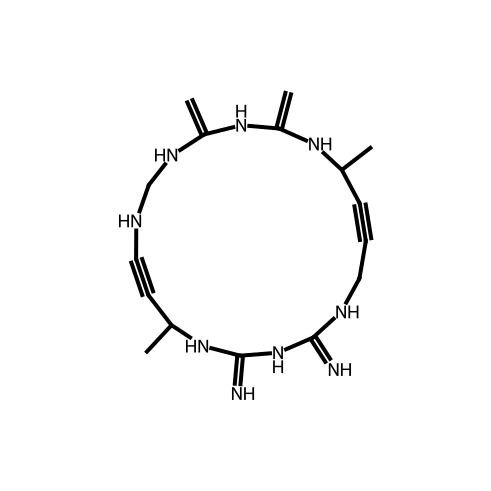 C=C1NCNC#CC(C)NC(=N)NC(=N)NCC#CC(C)NC(=C)N1